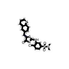 CN(C)S(=O)(=O)c1ccc(Cl)c(NC2=NC(=O)/C(=C/c3ccc4ncccc4c3)S2)c1